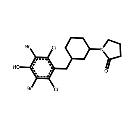 O=C1CCCN1C1CCCC(Cc2c(Cl)c(Br)c(O)c(Br)c2Cl)C1